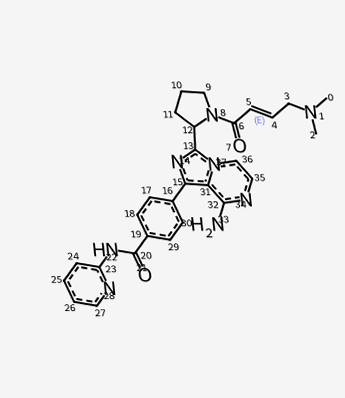 CN(C)C/C=C/C(=O)N1CCCC1c1nc(-c2ccc(C(=O)Nc3ccccn3)cc2)c2c(N)nccn12